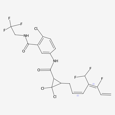 C=C/C(F)=C(\C=C/CC1C(C(=O)Nc2ccc(Cl)c(C(=O)NCC(F)(F)F)c2)C1(Cl)Cl)C(F)F